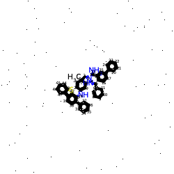 CC1(CN(NCC2C=CC=CC2)C(N)c2cccc(-c3ccccc3)c2)C=CC(Nc2c(-c3ccccc3)ccc3c2sc2ccccc23)=CC1